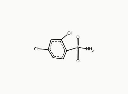 NS(=O)(=O)c1ccc(Cl)cc1O